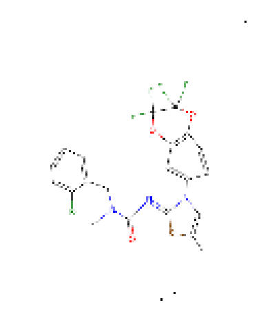 Cc1cn(-c2ccc3c(c2)OC(F)(F)C(F)(F)O3)c(=NC(=O)N(C)Cc2ccccc2Br)s1